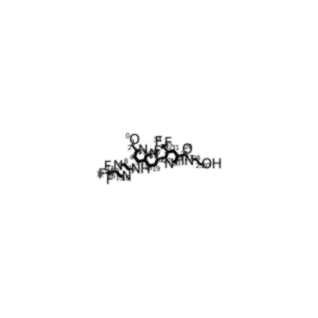 COCc1cc(Nc2cnc(C(F)(F)F)cn2)c2ccc(-c3ncc(C(=O)NCCO)cc3C(F)(F)F)nc2n1